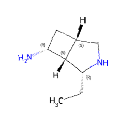 CC[C@H]1NC[C@H]2C[C@@H](N)[C@H]21